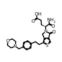 NC(=O)[C@H](CCC(=O)O)N1Cc2c(csc2CCc2ccc(CN3CCOCC3)cc2)C1=O